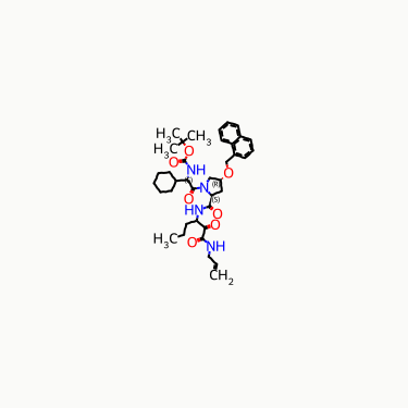 C=CCNC(=O)C(=O)C(CCC)NC(=O)[C@@H]1C[C@@H](OCc2cccc3ccccc23)CN1C(=O)[C@@H](NC(=O)OC(C)(C)C)C1CCCCC1